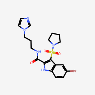 O=C(NCCCn1ccnc1)c1[nH]c2ccc(Br)cc2c1S(=O)(=O)N1CCCC1